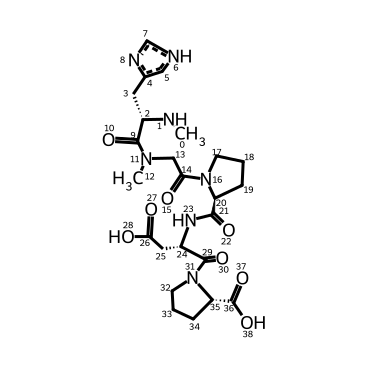 CN[C@@H](Cc1c[nH]cn1)C(=O)N(C)CC(=O)N1CCC[C@H]1C(=O)N[C@@H](CC(=O)O)C(=O)N1CCC[C@H]1C(=O)O